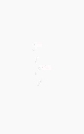 C/C=C/CC(O)/C=C/CO